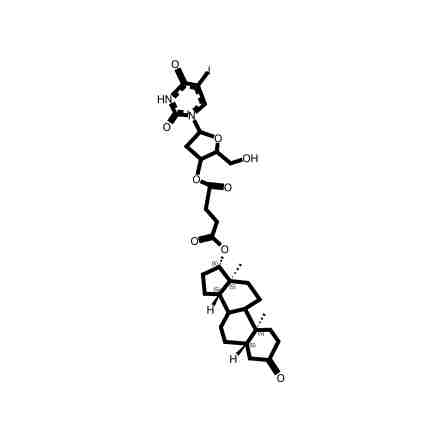 C[C@]12CCC3C(CC[C@H]4CC(=O)CC[C@]34C)[C@@H]1CC[C@@H]2OC(=O)CCC(=O)OC1CC(n2cc(I)c(=O)[nH]c2=O)OC1CO